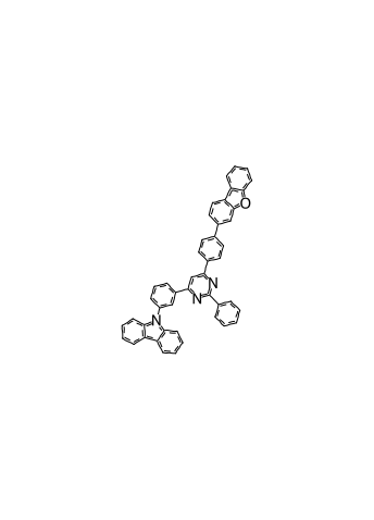 c1ccc(-c2nc(-c3ccc(-c4ccc5c(c4)oc4ccccc45)cc3)cc(-c3cccc(-n4c5ccccc5c5ccccc54)c3)n2)cc1